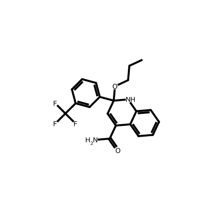 CCCOC1(c2cccc(C(F)(F)F)c2)C=C(C(N)=O)c2ccccc2N1